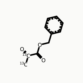 [13CH3][13C](=O)C(=O)OCc1ccccc1